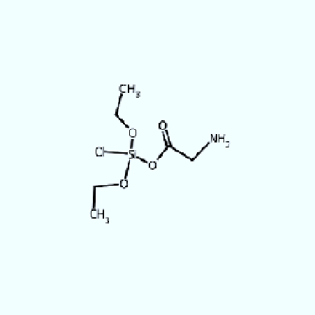 CCO[Si](Cl)(OCC)OC(=O)CN